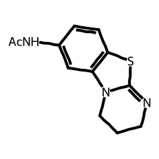 CC(=O)Nc1ccc2c(c1)N1CCCN=C1S2